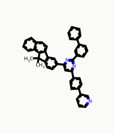 CC1(C)c2ccc(-c3cc(-c4ccc(-c5cccnc5)cc4)nc(-c4cccc(-c5ccccc5)c4)n3)cc2-c2ccc3ccccc3c21